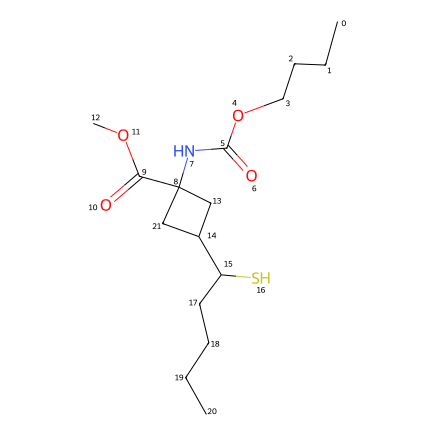 CCCCOC(=O)NC1(C(=O)OC)CC(C(S)CCCC)C1